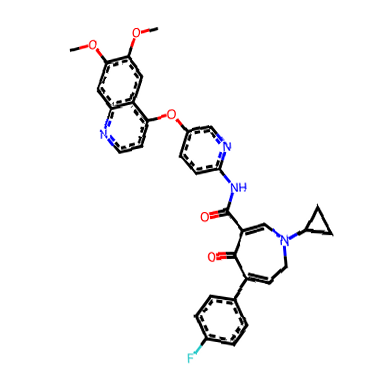 COc1cc2nccc(Oc3ccc(NC(=O)C4=CN(C5CC5)CC=C(c5ccc(F)cc5)C4=O)nc3)c2cc1OC